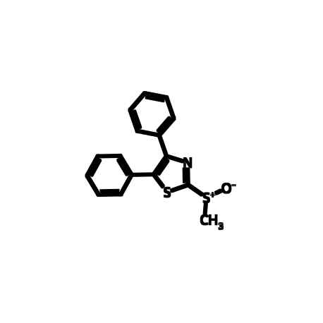 C[S+]([O-])c1nc(-c2ccccc2)c(-c2ccccc2)s1